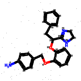 Nc1ccc(COc2ccccc2OC(Cc2ccccc2)C2=NCCN2)cc1